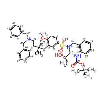 COc1ccc(S(=O)(=O)N(Cc2ccccc2)[C@H](NC(=O)OC(C)(C)C)[C@@H](C)O)cc1CC(C)(C)CCN(Cc1ccccc1)Cc1ccccc1